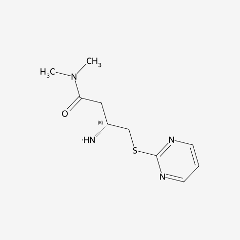 CN(C)C(=O)C[C@@H]([NH])CSc1ncccn1